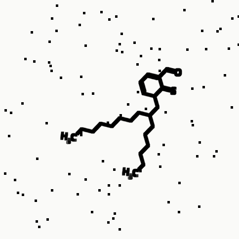 CCCCCCCCC(CCCCCC)CC1C=CC=C(C=O)C1=S